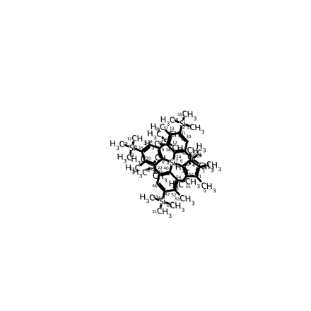 CC1=C(C)C(C)C([Si](c2c([Si](C)(C)C)cc([Si](C)(C)C)c(C)c2C)(c2c([Si](C)(C)C)cc([Si](C)(C)C)c(C)c2C)c2c([Si](C)(C)C)cc([Si](C)(C)C)c(C)c2C)=C1C